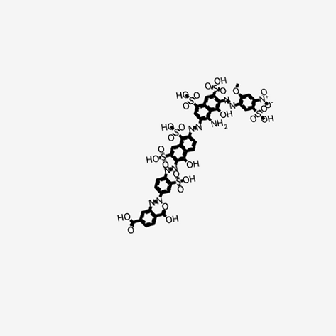 COc1cc([N+](=O)[O-])c(S(=O)(=O)O)cc1N=Nc1c(S(=O)(=O)O)cc2c(S(=O)(=O)O)cc(N=Nc3ccc4c(O)c(N=Nc5ccc(N=Nc6cc(C(=O)O)ccc6C(=O)O)cc5S(=O)(=O)O)c(S(=O)(=O)O)cc4c3S(=O)(=O)O)c(N)c2c1O